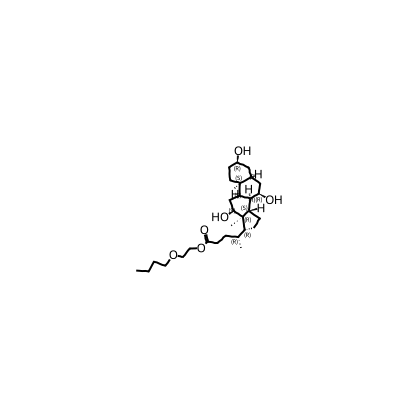 CCCCOCCOC(=O)CC[C@@H](C)[C@H]1CC[C@H]2[C@@H]3[C@H](O)C[C@@H]4C[C@H](O)CC[C@]4(C)[C@H]3C[C@H](O)[C@]12C